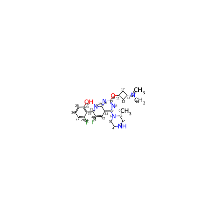 C[C@@H]1CNCCN1c1nc(OC2CC(N(C)C)C2)nc2nc(-c3c(O)cccc3F)c(F)cc12